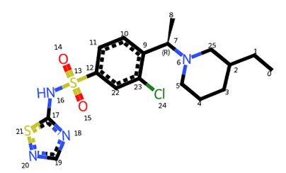 CCC1CCCN([C@H](C)c2ccc(S(=O)(=O)Nc3ncns3)cc2Cl)C1